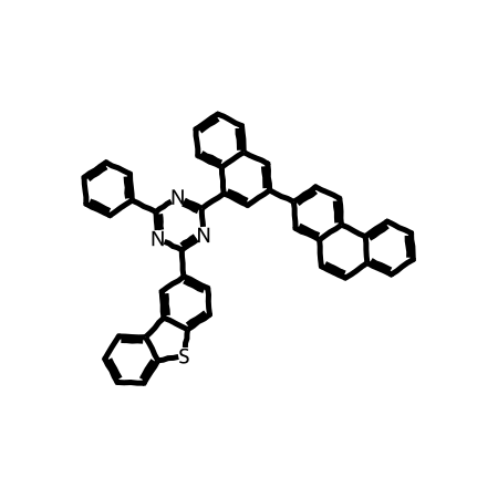 c1ccc(-c2nc(-c3ccc4sc5ccccc5c4c3)nc(-c3cc(-c4ccc5c(ccc6ccccc65)c4)cc4ccccc34)n2)cc1